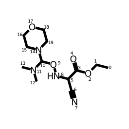 CCOC(=O)C(C#N)NO[C](N(C)C)N1CCOCC1